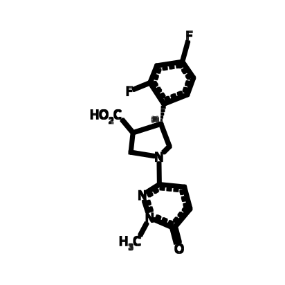 Cn1nc(N2CC(C(=O)O)[C@H](c3ccc(F)cc3F)C2)ccc1=O